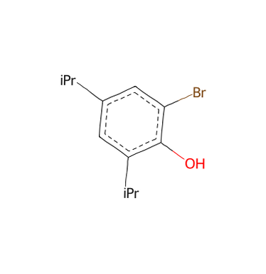 CC(C)c1cc(Br)c(O)c(C(C)C)c1